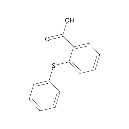 O=C(O)c1ccccc1Sc1ccccc1